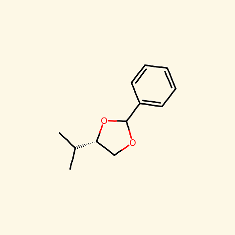 CC(C)[C@H]1COC(c2ccccc2)O1